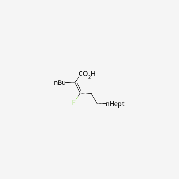 CCCCCCCCCC(F)=C(CCCC)C(=O)O